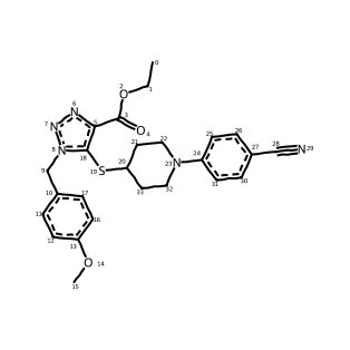 CCOC(=O)c1nnn(Cc2ccc(OC)cc2)c1SC1CCN(c2ccc(C#N)cc2)CC1